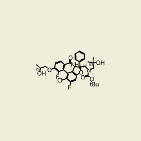 C[C@H](O)COc1ccc(C(N)=O)c(-c2c(Cl)c(F)cc3c2C[C@](c2ccccc2)([C@@H]2C[C@](C)(O)CN2C(=O)OC(C)(C)C)O3)c1F